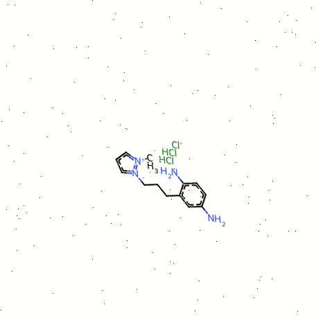 C[n+]1cccn1CCCc1cc(N)ccc1N.Cl.Cl.[Cl-]